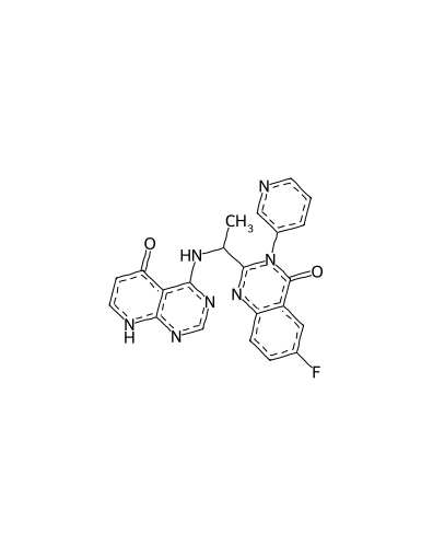 CC(Nc1ncnc2[nH]ccc(=O)c12)c1nc2ccc(F)cc2c(=O)n1-c1cccnc1